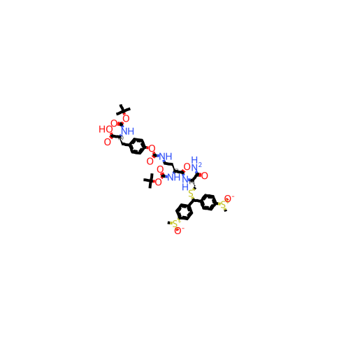 C[S+]([O-])c1ccc(C(SC[C@H](NC(=O)[C@H](CCNC(=O)Oc2ccc(C[C@H](NC(=O)OC(C)(C)C)C(=O)O)cc2)NC(=O)OC(C)(C)C)C(N)=O)c2ccc([S+](C)[O-])cc2)cc1